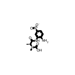 C[C@@H](C(=O)Nc1cc([N+](=O)[O-])ccc1N)N(C)C(=O)O